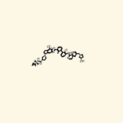 Cc1c(-c2nc3cc4c(c(C(F)(F)F)c3o2)CC[C@H]4N2CC[C@@H](C(=O)NS(=O)(=O)C3(C)CC3)C2)cccc1-c1cccc(Nc2nccc3cc(CN4CC[C@@H](O)C4)cnc23)c1Cl